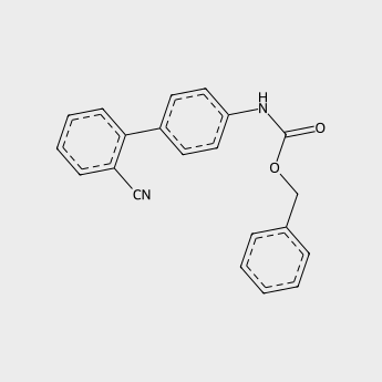 N#Cc1ccccc1-c1ccc(NC(=O)OCc2ccccc2)cc1